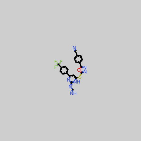 N#Cc1ccc(-c2nnc(Sc3cc(-c4ccc(C(F)(F)F)cc4)n/c(=N/C=N)[nH]3)o2)cc1